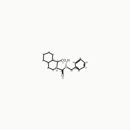 O=C(O)C1C2CCCCC2CCN1C(=O)OCc1ccccc1